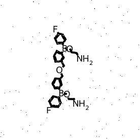 NCCOB(c1ccc(F)cc1)c1cccc(COCc2cccc(B(OCCN)c3ccc(F)cc3)c2)c1